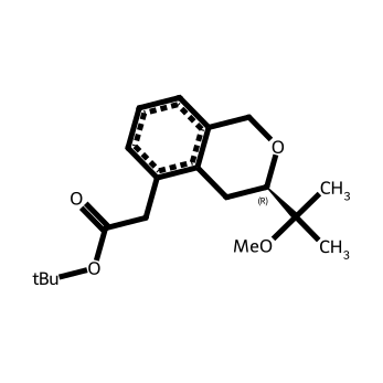 COC(C)(C)[C@H]1Cc2c(cccc2CC(=O)OC(C)(C)C)CO1